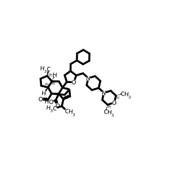 CC(C)C1=CC2CC3(C=O)[C@@H]4CC[C@@H](C)[C@H]4CC2(C2CC(CC4CCCCC4)C(CN4CCC(N5C[C@@H](C)O[C@@H](C)C5)CC4)O2)C13C(=O)O